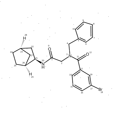 O=C(CN(Cc1ccccc1)C(=O)c1cccc(Br)c1)N[C@@H]1C[C@@H]2CC[C@H]1C2